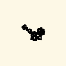 CC1(C)OB(c2cn(COCC[Si](C)(C)C)c3nccc(Cl)c23)OC1(C)C